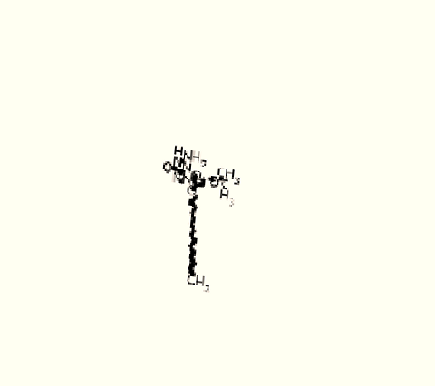 CCCCCCCCCCCCCCCCOC1C[C@@H](COC(C)C)O[C@H]1n1cnc2c(=O)[nH]c(N)nc21